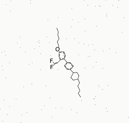 CCCCCCOc1ccc(-c2ccc(C3CCC(CCCCC)CC3)cc2)c(C=C(F)F)c1